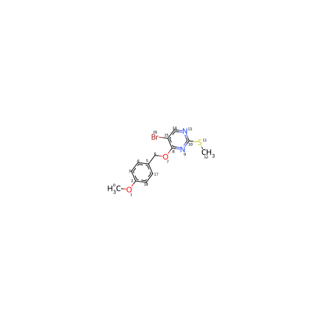 COc1ccc(COc2nc(SC)ncc2Br)cc1